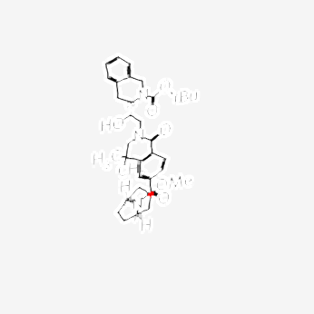 COC1C[C@H]2CC[C@@H](C1)N2C(=O)c1ccc2c(c1)C(C)(C)CN(CC(O)[C@@H]1Cc3ccccc3CN1C(=O)OC(C)(C)C)C2=O